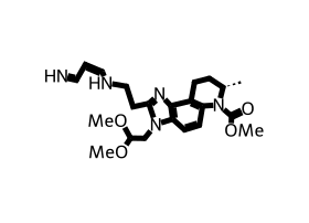 COC(=O)N1c2ccc3c(nc(CCN/C=C\C=N)n3CC(OC)OC)c2CC[C@@H]1C